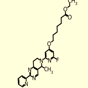 CCOC(=O)CCCCCCOc1cc(F)nc(N2CCc3nc(-c4ccccn4)ncc3C2C)c1